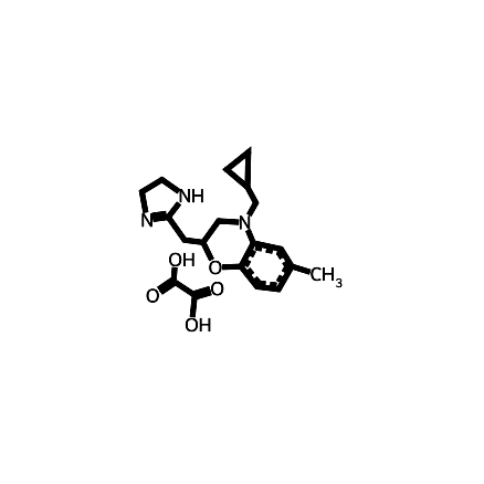 Cc1ccc2c(c1)N(CC1CC1)CC(CC1=NCCN1)O2.O=C(O)C(=O)O